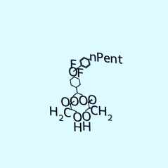 C=C(CO)C(=O)OCC(COC(=O)C(=C)CO)C1CCC(OC(F)(F)c2ccc(CCCCC)cc2)CC1